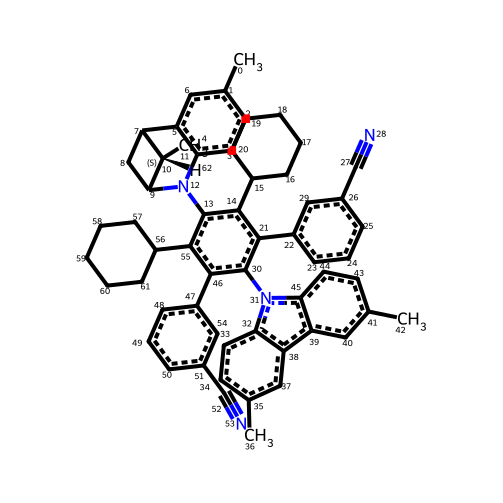 Cc1ccc2c(c1)C1CC([C@H]1C)N2c1c(C2CCCCC2)c(-c2cccc(C#N)c2)c(-n2c3ccc(C)cc3c3cc(C)ccc32)c(-c2cccc(C#N)c2)c1C1CCCCC1